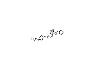 COc1ccc(COc2ccc3c(c2)nnn3OCc2ccccc2)cc1